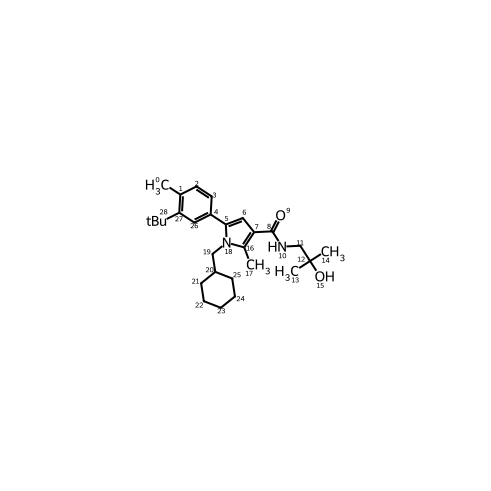 Cc1ccc(-c2cc(C(=O)NCC(C)(C)O)c(C)n2CC2CCCCC2)cc1C(C)(C)C